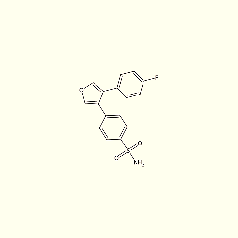 NS(=O)(=O)c1ccc(-c2cocc2-c2ccc(F)cc2)cc1